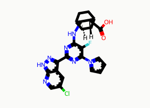 O=C(O)[C@H]1C2CCC(CC2)[C@@H]1Nc1nc(-c2n[nH]c3ncc(Cl)cc23)nc(-n2cccc2)c1F